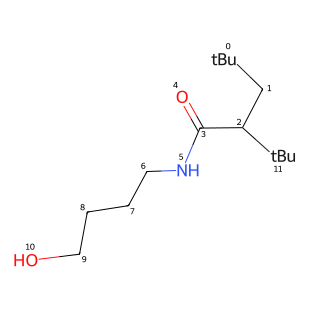 CC(C)(C)CC(C(=O)NCCCCO)C(C)(C)C